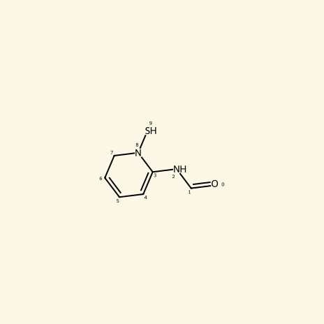 O=CNC1=CC=CCN1S